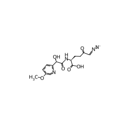 COc1ccc([C@@H](O)C(=O)N[C@@H](CCC(=O)C=[N+]=[N-])C(=O)O)nc1